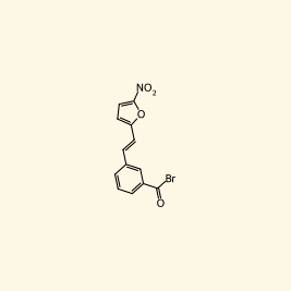 O=C(Br)c1cccc(C=Cc2ccc([N+](=O)[O-])o2)c1